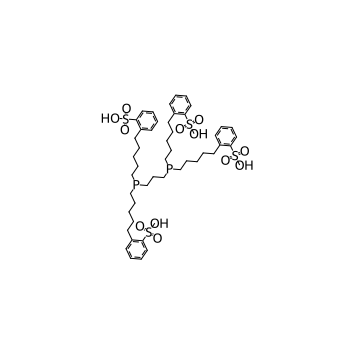 O=S(=O)(O)c1ccccc1CCCCCP(CCCCCc1ccccc1S(=O)(=O)O)CCCP(CCCCCc1ccccc1S(=O)(=O)O)CCCCCc1ccccc1S(=O)(=O)O